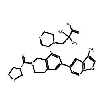 Cc1c[nH]c2ncc(-c3cc4c(c([C@@H]5COCCN5CC(C)(C)C(=O)O)c3)CN(C(=O)[C@H]3CCOC3)CC4)cc12